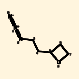 [N-]=[N+]=NCCC1CCO1